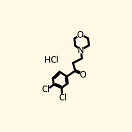 Cl.O=C(CCN1CCOCC1)c1ccc(Cl)c(Cl)c1